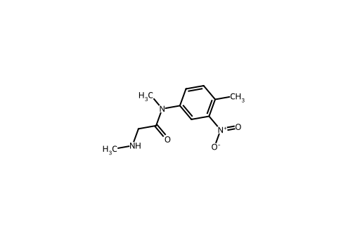 CNCC(=O)N(C)c1ccc(C)c([N+](=O)[O-])c1